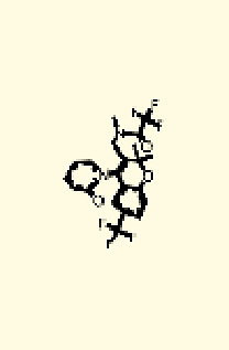 CN(CC1=C(n2ccccc2=O)c2cc(C(F)(F)F)ccc2OC1(C)C)C(=O)C(F)(F)F